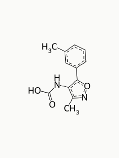 Cc1cccc(-c2onc(C)c2NC(=O)O)c1